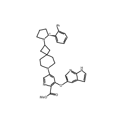 COC(=O)c1ncc(N2CCC3(CC2)CC(N2CCC[C@H]2c2ccccc2C(C)C)C3)cc1Oc1cnc2[nH]ccc2c1